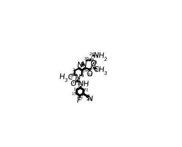 C[C@@H]1Cc2nn3c(c2CN1C(=O)Nc1ccc(F)c(C#N)c1)C(=O)N(C)O[C@@H](CN)C3